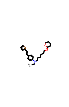 CCN(CCCCCCOC1CCCCO1)c1ccc(C=Cc2cccs2)cc1